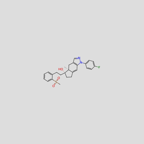 C[C@]12Cc3cnn(-c4ccc(F)cc4)c3C=C1CC[C@@]2(O)CCc1ccccc1S(C)(=O)=O